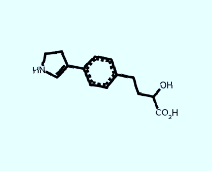 O=C(O)C(O)CCc1ccc(C2=CNCC2)cc1